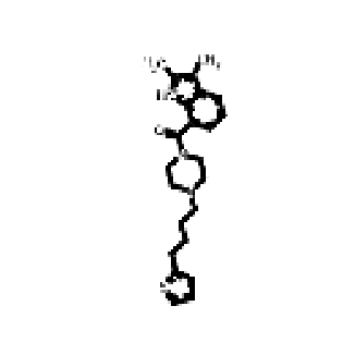 Cc1[nH]c2c(C(=O)N3CCN(CCCCc4cccs4)CC3)cccc2c1C